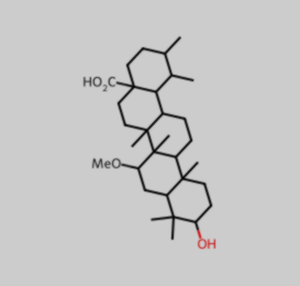 COC1CC2C(C)(C)C(O)CCC2(C)C2CCC3C4C(C)C(C)CCC4(C(=O)O)CCC3(C)C12C